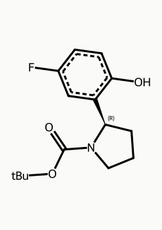 CC(C)(C)OC(=O)N1CCC[C@@H]1c1cc(F)ccc1O